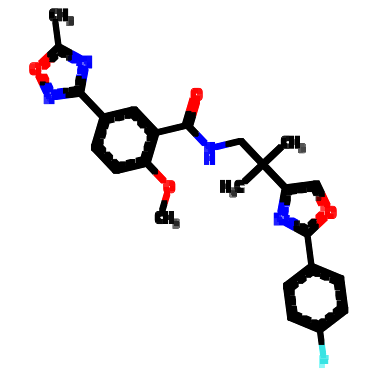 COc1ccc(-c2noc(C)n2)cc1C(=O)NCC(C)(C)c1coc(-c2ccc(F)cc2)n1